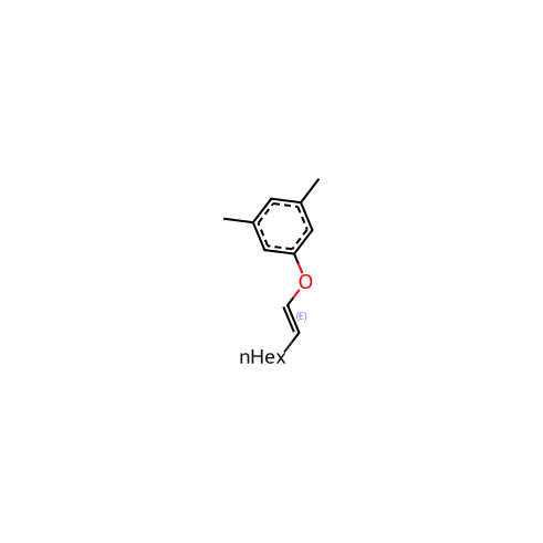 CCCCCC/C=C/Oc1cc(C)cc(C)c1